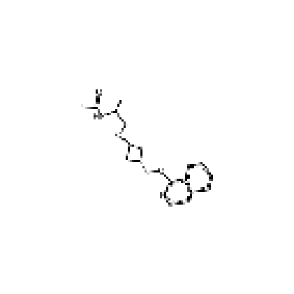 CC(=O)N[C@@H](C)CO[C@H]1C[C@H](COc2nccc3ccccc23)C1